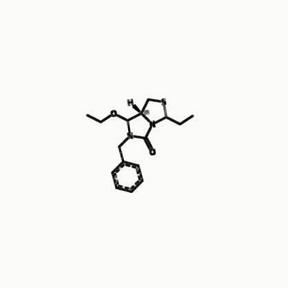 CCOC1[C@@H]2CSC(CC)N2C(=O)N1Cc1ccccc1